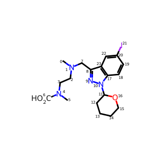 CN(CCN(C)C(=O)O)Cc1nn(C2CCCCO2)c2ccc(I)cc12